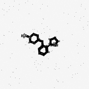 CN1CCC(Cc2ccccc2[C@H]2CCCN2)CC1